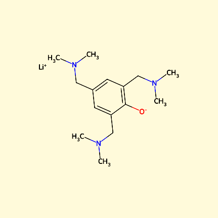 CN(C)Cc1cc(CN(C)C)c([O-])c(CN(C)C)c1.[Li+]